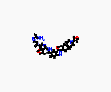 C=C(N)/N=C\C=C(/C)c1cnc(NCc2cccc(C(=O)NC3CCC4(CC3)CCN(C3COC3)CC4)c2)c2c1OCC2